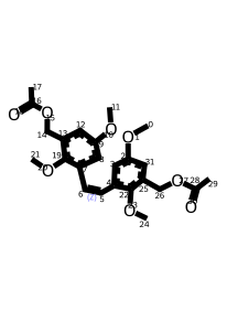 COc1cc(/C=C\c2cc(OC)cc(COC(C)=O)c2OC)c(OC)c(COC(C)=O)c1